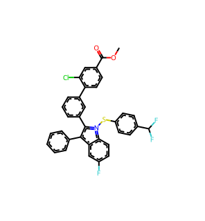 COC(=O)c1ccc(-c2cccc(-c3c(-c4ccccc4)c4cc(F)ccc4n3Sc3ccc(C(F)F)cc3)c2)c(Cl)c1